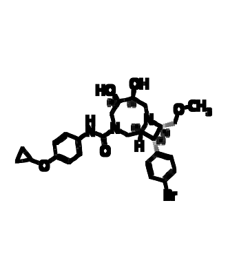 COC[C@@H]1[C@H](c2ccc(Br)cc2)[C@@H]2CN(C(=O)Nc3ccc(OC4CC4)cc3)C[C@@H](O)[C@@H](O)CN12